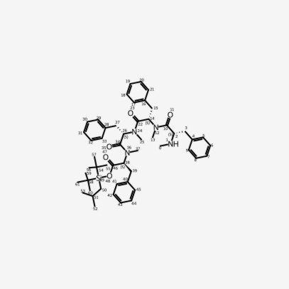 CN[C@@H](Cc1ccccc1)C(=O)N(C)[C@@H](Cc1ccccc1)C(=O)N(C)[C@@H](Cc1ccccc1)C(=O)N(C)[C@@H](Cc1ccccc1)C(=O)O[Si](CC(C)C)(C(C)(C)C)C(C)(C)C